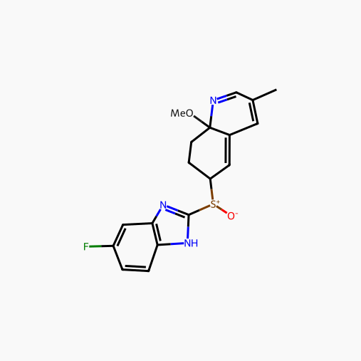 COC12CCC([S+]([O-])c3nc4cc(F)ccc4[nH]3)C=C1C=C(C)C=N2